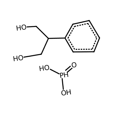 O=[PH](O)O.OCC(CO)c1ccccc1